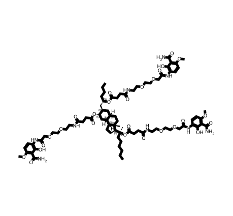 CCCCCC[C@](C)(OC(=O)CCC(=O)NCCOCCOCC(=O)Nc1ccc(OC)c(C(N)=O)c1O)[C@H]1CC[C@H]2[C@@H]3C[C@H](OC(=O)CCC(=O)NCCOCCOCC(=O)Nc4ccc(OC)c(C(N)=O)c4O)[C@@H](C[C@H](CCCC)OC(=O)CCC(=O)NCCOCCOCC(=O)Nc4ccc(OC)c(C(N)=O)c4O)C[C@H]3CC[C@@]21C